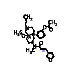 C=CCN1CC[C@@]2(c3cccc(OC(C)=O)c3)C[C@@H](N(C)C(=O)/C=C/c3ccoc3)CC[C@]2(OC)C1